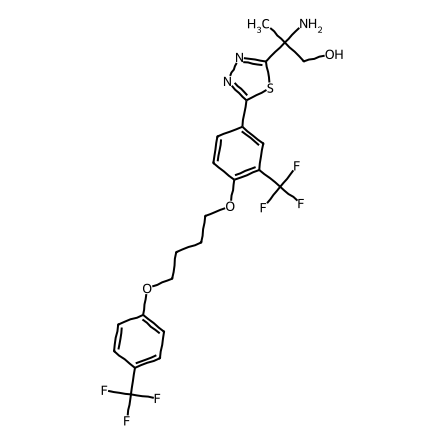 CC(N)(CO)c1nnc(-c2ccc(OCCCCOc3ccc(C(F)(F)F)cc3)c(C(F)(F)F)c2)s1